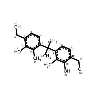 Cc1c(C(C)(C)c2ccc(CO)c(O)c2C)ccc(CO)c1O